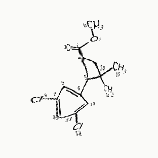 COC(=O)[C@@H]1C(c2cc(Cl)cc(Cl)c2)C1(C)C